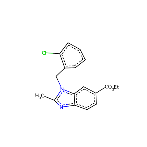 CCOC(=O)c1ccc2nc(C)n(Cc3ccccc3Cl)c2c1